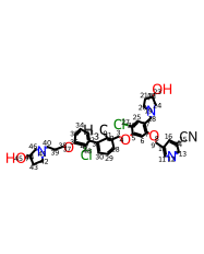 Cc1c(COc2cc(OCc3cncc(C#N)c3)c(CN3CC[C@@H](O)C3)cc2Cl)cccc1-c1cccc(OCCCN2CC[C@@H](O)C2)c1Cl